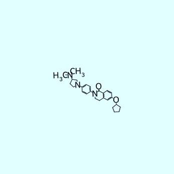 CN(C)C1CCN(c2ccc(N3CCc4cc(OC5CCCC5)ccc4C3=O)cc2)C1